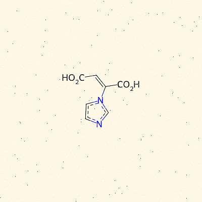 O=C(O)/C=C(/C(=O)O)n1ccnc1